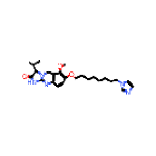 COc1c(OCCCCCCCCn2ccnc2)ccc2c1CN1C(=N2)NC(=O)C1C(C)C